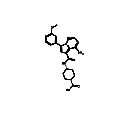 COc1cc(-c2cc(C(=O)N[C@H]3CC[C@@H](C(=O)O)CC3)c3c(N)ncnn23)ccn1